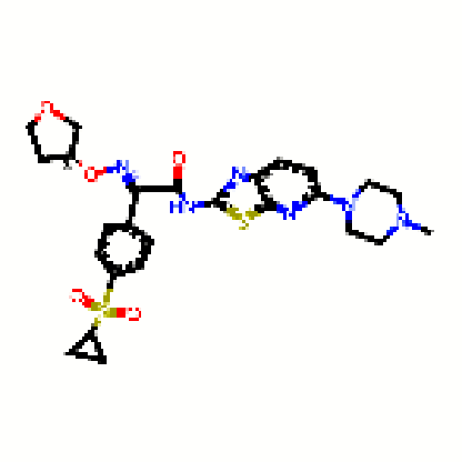 CN1CCN(c2ccc3nc(NC(=O)/C(=N/O[C@@H]4CCOC4)c4ccc(S(=O)(=O)C5CC5)cc4)sc3n2)CC1